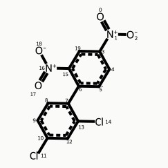 O=[N+]([O-])c1c[c]c(-c2ccc(Cl)cc2Cl)c([N+](=O)[O-])c1